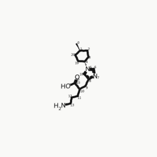 C[C@H]1CC[C@H](n2cnc(CC(CCCN)C(=O)O)c2)CC1